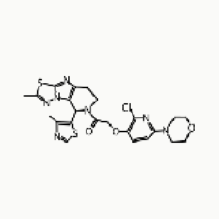 Cc1nn2c3c(nc2s1)CCN(C(=O)COc1ccc(N2CCOCC2)nc1Cl)C3c1scnc1C